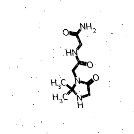 CC1(C)NCC(=O)N1CC(=O)NCC(N)=O